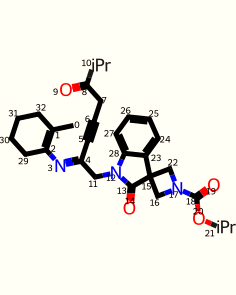 CC1=C(/N=C(\C#CCC(=O)C(C)C)CN2C(=O)C3(CN(C(=O)OC(C)C)C3)c3ccccc32)CCCC1